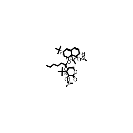 CCCCCC(=O)O[C@H]1C[C@H](C(C)(C)C)C=C2C=C[C@H](C)[C@](CC[C@H]3C[C@H](C(C)(C)C)C(O[SiH](C)C)C(=O)O3)(O[SiH](C)C)[C@H]21